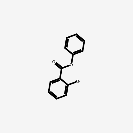 [O]c1ccccc1C(=O)Oc1ccccc1